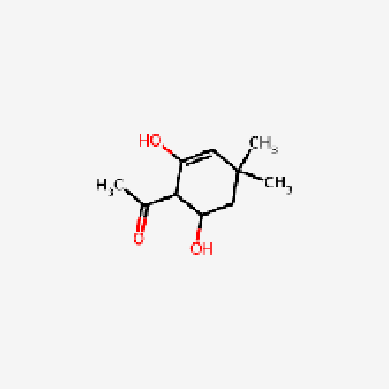 CC(=O)C1C(O)=CC(C)(C)CC1O